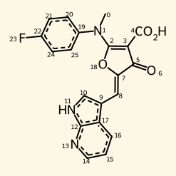 CN(C1=C(C(=O)O)C(=O)C(=Cc2c[nH]c3ncccc23)O1)c1ccc(F)cc1